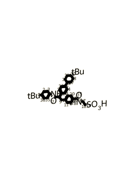 CC(C)(C)c1ccc(NC(=O)C(Cc2ccc(C(=O)NCCS(=O)(=O)O)cc2)c2ccc(C3=CCC(C(C)(C)C)CC3)cc2)cc1